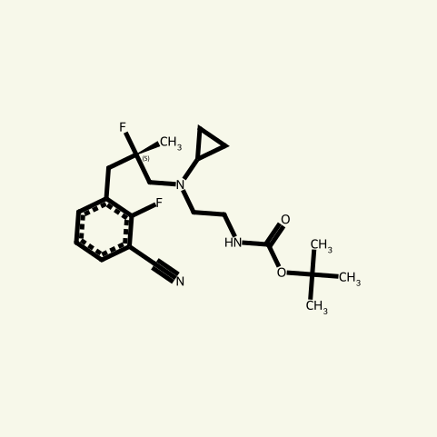 CC(C)(C)OC(=O)NCCN(C[C@@](C)(F)Cc1cccc(C#N)c1F)C1CC1